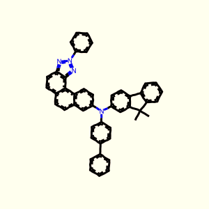 CC1(C)c2ccccc2-c2ccc(N(c3ccc(-c4ccccc4)cc3)c3ccc4c(ccc5ccc6nn(-c7ccccc7)nc6c54)c3)cc21